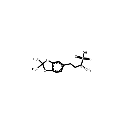 C[C@@H](CCc1ccc2c(c1)OC(C)(C)O2)S(=O)(=O)O